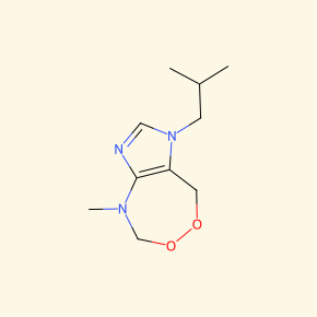 CC(C)Cn1cnc2c1COOCN2C